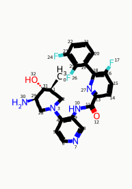 C[C@H]1CN(c2ccncc2NC(=O)c2ccc(F)c(-c3cccc(F)c3F)n2)C[C@@H](N)[C@@H]1O